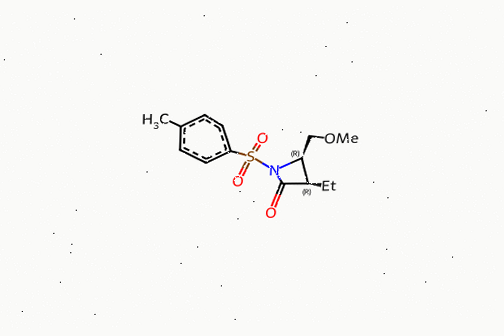 CC[C@H]1C(=O)N(S(=O)(=O)c2ccc(C)cc2)[C@H]1COC